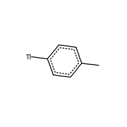 Cc1cc[c]([Tl])cc1